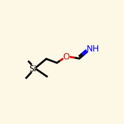 C[Si](C)(C)CCOC=N